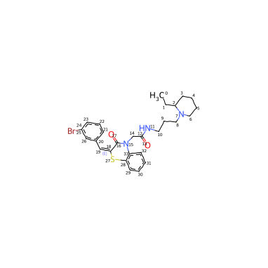 CCC1CCCCN1CCCNC(=O)CN1C(=O)/C(=C\c2cccc(Br)c2)Sc2ccccc21